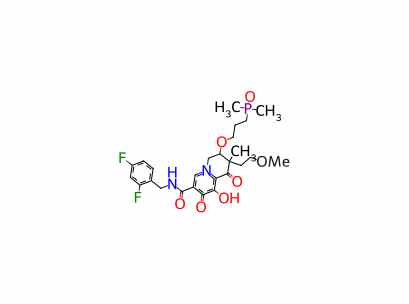 COCCC1(C)C(=O)c2c(O)c(=O)c(C(=O)NCc3ccc(F)cc3F)cn2CC1OCCCP(C)(C)=O